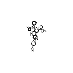 CCOC(=O)c1cc(-c2ccc(N3CCC(C#N)CC3)nc2)c(C(=N)[C@H]2C[C@H](C)C2)c(Nc2ccccc2)n1